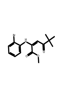 COC(=O)C(=CC(=O)C(C)(C)C)Nc1ccccc1Br